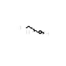 CC/C=C\CCO/C=C(\C)CCc1ccc(OC)cc1